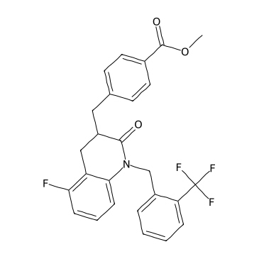 COC(=O)c1ccc(CC2Cc3c(F)cccc3N(Cc3ccccc3C(F)(F)F)C2=O)cc1